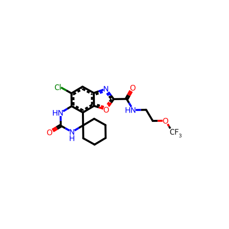 O=C1Nc2c(Cl)cc3nc(C(=O)NCCOC(F)(F)F)oc3c2C2(CCCCC2)N1